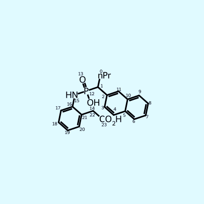 CCCC(c1ccc2ccccc2c1)P(=O)(O)Nc1ccccc1CC(=O)O